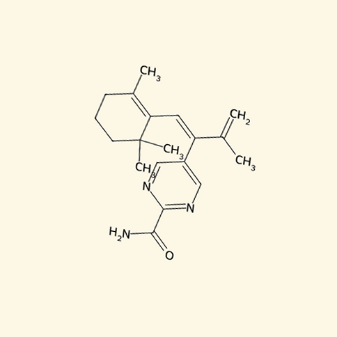 C=C(C)C(=CC1=C(C)CCCC1(C)C)c1cnc(C(N)=O)nc1